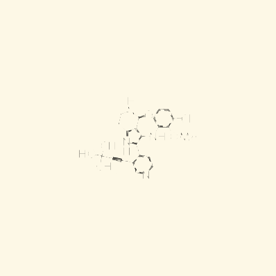 COc1c(Cl)cccc1Nc1c(-c2ccncc2C#CC(C)(C)O)[nH]c2c1C(=O)NCC2